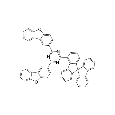 c1ccc2c(c1)-c1ccccc1C21c2ccccc2-c2c(-c3nc(-c4ccc5oc6ccccc6c5c4)nc(-c4ccc5oc6ccccc6c5c4)n3)cccc21